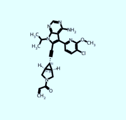 C=CC(=O)N1C[C@@H]2[C@@H](C#Cc3c(-c4ccc(Cl)c(OC)n4)c4c(N)ncnc4n3C(C)C)[C@@H]2C1